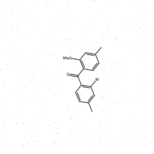 COc1cc(C)ccc1C(=O)c1ccc(C)cc1Br